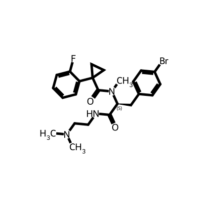 CN(C)CCNC(=O)[C@H](Cc1ccc(Br)cc1)N(C)C(=O)C1(c2ccccc2F)CC1